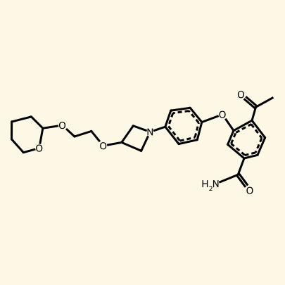 CC(=O)c1ccc(C(N)=O)cc1Oc1ccc(N2CC(OCCOC3CCCCO3)C2)cc1